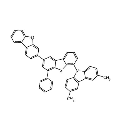 Cc1ccc2c(c1)c1cc(C)ccc1n2-c1cccc2c1sc1c(-c3ccccc3)cc(-c3ccc4c(c3)oc3ccccc34)cc12